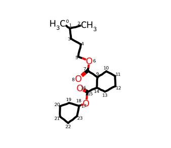 CC(C)CCCOC(=O)C1CCCCC1C(=O)OC1CCCCC1